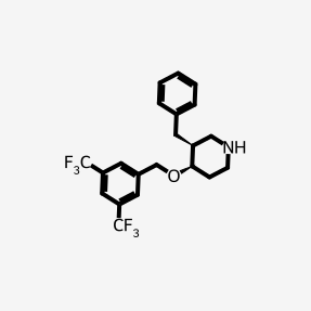 FC(F)(F)c1cc(CO[C@@H]2CCNC[C@@H]2Cc2ccccc2)cc(C(F)(F)F)c1